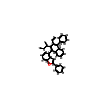 C=Cc1c(C(C)CC)c(-c2cccc3oc(-c4ccccc4)cc23)c2ccccc2c1-c1ccccc1